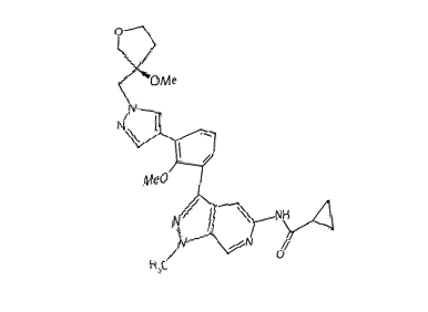 COc1c(-c2cnn(C[C@@]3(OC)CCOC3)c2)cccc1-c1nn(C)c2cnc(NC(=O)C3CC3)cc12